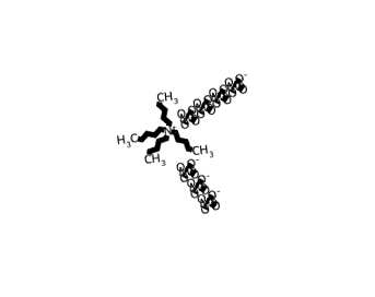 CCCCC[N+](CCCCC)(CCCCC)CCCCC.[O]=[Mo](=[O])([O-])[O-].[O]=[Mo](=[O])([O-])[O-].[O]=[Mo](=[O])([O-])[O-].[O]=[Mo](=[O])([O-])[O-].[O]=[Mo](=[O])([O-])[O-].[O]=[Mo](=[O])([O-])[O-].[O]=[Mo](=[O])([O-])[O-]